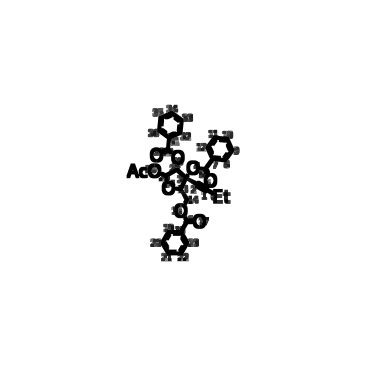 CCC#C[C@@]1(OC(=O)c2ccccc2)[C@@H](COC(=O)c2ccccc2)OC(OC(C)=O)[C@@H]1OC(=O)c1ccccc1